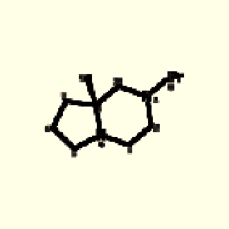 CC(C)N1CCN2CCC[C@]2(C)C1